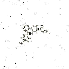 C=CC(=O)N1CCN(c2nccnc2Nc2ccc(C#N)cc2)CC1